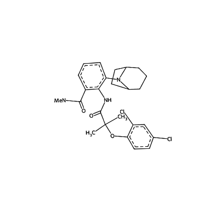 CNC(=O)c1cccc(N2C3CCCC2CC3)c1NC(=O)C(C)(C)Oc1ccc(Cl)cc1Cl